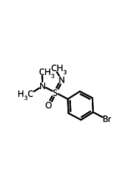 CN=S(=O)(c1ccc(Br)cc1)N(C)C